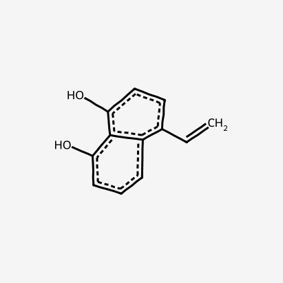 C=Cc1ccc(O)c2c(O)cccc12